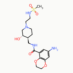 CS(=O)(=O)NCCN1CC[C@@H](CNC(=O)c2cc(N)cc3c2OCCO3)[C@H](O)C1